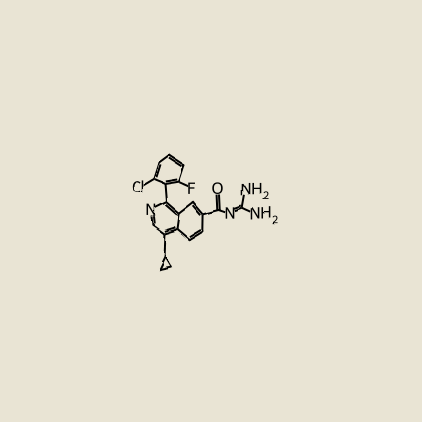 NC(N)=NC(=O)c1ccc2c(C3CC3)cnc(-c3c(F)cccc3Cl)c2c1